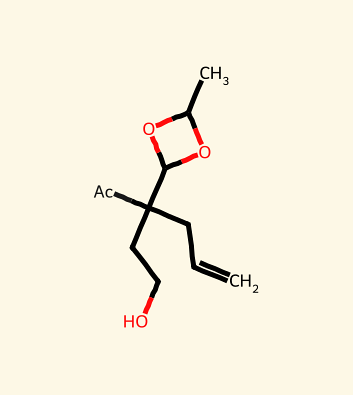 C=CCC(CCO)(C(C)=O)C1OC(C)O1